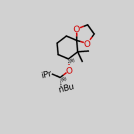 CCCC[C@@H](O[C@@H]1CCCC2(OCCO2)C1(C)C)C(C)C